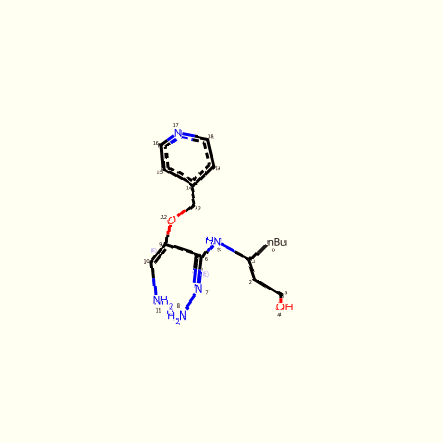 CCCCC(CCO)NC(=N/N)/C(=C\N)OCc1ccncc1